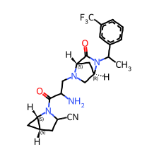 CC(c1cccc(C(F)(F)F)c1)N1C(=O)[C@@H]2C[C@@H]1CN2CC(N)C(=O)N1C(C#N)C[C@@H]2C[C@@H]21